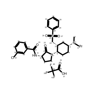 CC(C)N(C)[C@@H]1CC[C@H](N2CC[C@H](NC(=O)c3cccc(Cl)c3)C2=O)[C@H](CS(=O)(=O)c2ccccc2)C1.O=C(O)C(F)(F)F